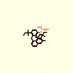 CCC(C)(C)c1ccc(OP(O)O)c(-c2cccc(C)c2C(C)(C)CC)c1Cc1cccc(C)c1C(C)(C)CC